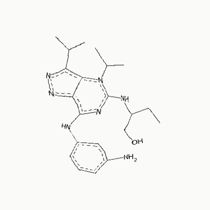 CCC(CO)Nc1nc(Nc2cccc(N)c2)c2nnc(C(C)C)c-2n1C(C)C